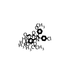 COc1cccc([C@H]2[C@@H](c3ccc(Cl)cc3)N=C3N2C(=O)N2CC(=O)NC4=C2C3(C)C(OC(C)C)=CC4(C)OC)c1